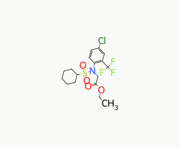 CCOC(=O)CN(c1ccc(Cl)cc1C(F)(F)F)S(=O)(=O)C1CCCCC1